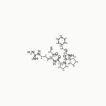 N=C(N)NCCC[C@H](NC(=O)[C@@H]1CCCN1C(=O)C1(NCOCc2ccccc2)CCCC1)C(=O)CF